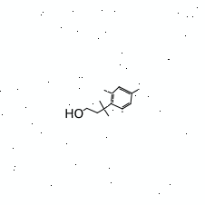 Cc1c[c]c(C(C)(C)CCO)c(C)c1